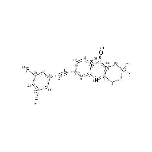 CC1(C)CCc2nc3cc(C#Cc4cc(F)cc(F)c4)ccc3c(=O)n2C1